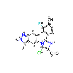 Cc1c2cc(-n3c(-c4ccc(C#N)c(F)c4)nc(C=O)c3Cl)ccc2nn1C